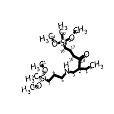 CCC(CNCCC[Si](C)(OC)OC)C(=O)CCC[Si](C)(OC)OC